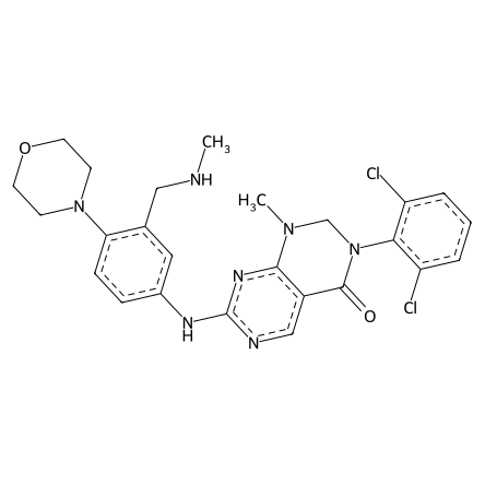 CNCc1cc(Nc2ncc3c(n2)N(C)CN(c2c(Cl)cccc2Cl)C3=O)ccc1N1CCOCC1